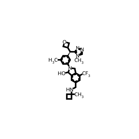 Cc1cc([C@H](c2nncn2C)C2COC2)cc(N2Cc3c(cc(CNC4(C)CCC4)cc3C(F)(F)F)C2O)c1